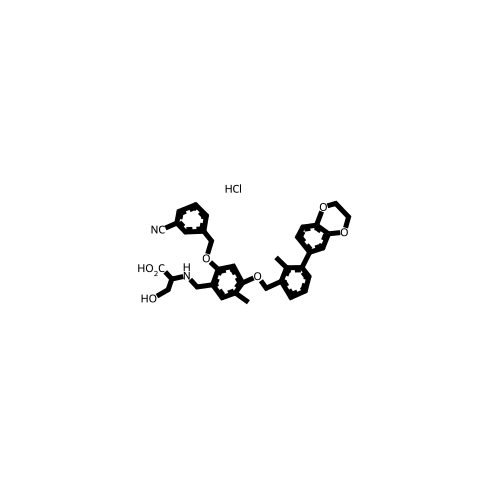 Cc1cc(CNC(CO)C(=O)O)c(OCc2cccc(C#N)c2)cc1OCc1cccc(-c2ccc3c(c2)OCCO3)c1C.Cl